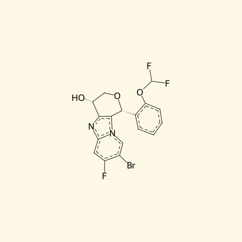 O[C@@H]1CO[C@H](c2ccccc2OC(F)F)c2c1nc1cc(F)c(Br)cn21